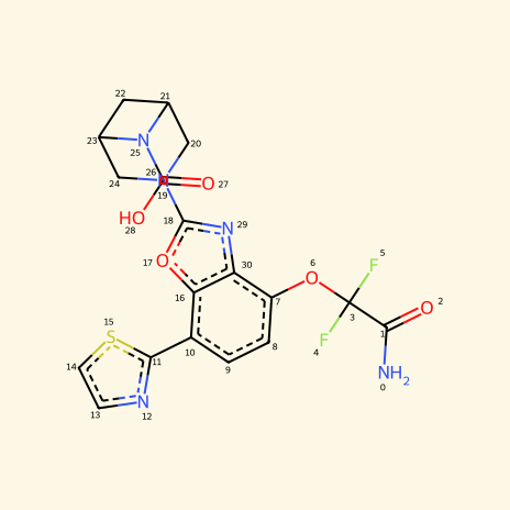 NC(=O)C(F)(F)Oc1ccc(-c2nccs2)c2oc(N3CC4CC(C3)N4C(=O)O)nc12